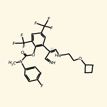 CN(C(=O)Oc1c(/C(C=N)=C/NCCOC2CCC2)cc(C(F)(F)F)cc1C(F)(F)F)c1ccc(F)cc1